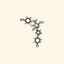 O=C(O)[C@@]1(NS(=O)(=O)c2ccc(-c3ccc(Cl)cc3)s2)C[C@@H]1c1ccc(Br)cc1